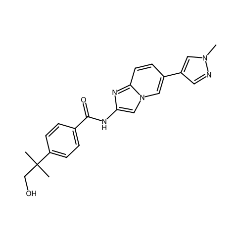 Cn1cc(-c2ccc3nc(NC(=O)c4ccc(C(C)(C)CO)cc4)cn3c2)cn1